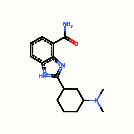 CN(C)C1CCCC(c2nc3c(C(N)=O)cccc3[nH]2)C1